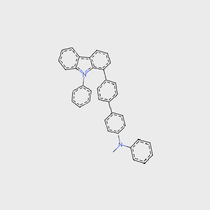 CN(c1ccccc1)c1ccc(-c2ccc(-c3cccc4c5ccccc5n(-c5ccccc5)c34)cc2)cc1